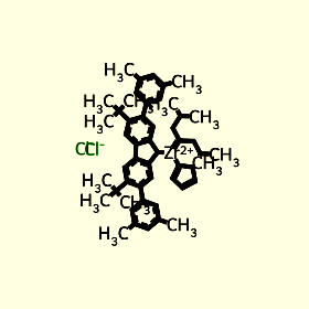 Cc1cc(C)cc(-c2cc3c(cc2C(C)(C)C)-c2cc(C(C)(C)C)c(-c4cc(C)cc(C)c4)cc2[CH]3[Zr+2]([C]2=CC=CC2)=[C](CC(C)C)CC(C)C)c1.[Cl-].[Cl-]